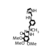 COc1cc2[nH]c(N(C)Cc3cccc(NCc4ncc[nH]4)c3)nc(=O)c2c(OC)c1OC